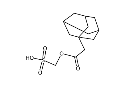 O=C(CC12CC3CC(CC(C3)C1)C2)OCS(=O)(=O)O